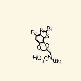 CC(C)(C)N(CC1COc2cc(F)c3nc(Br)sc3c2O1)C(=O)O